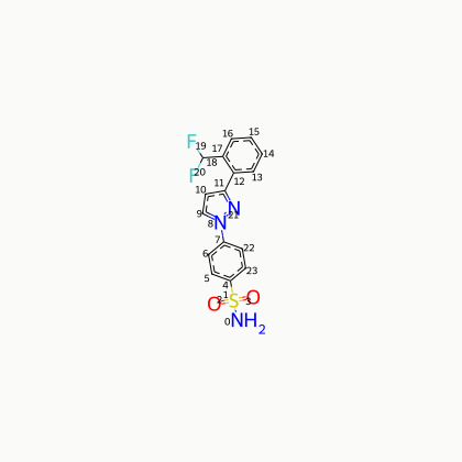 NS(=O)(=O)c1ccc(-n2ccc(-c3ccccc3C(F)F)n2)cc1